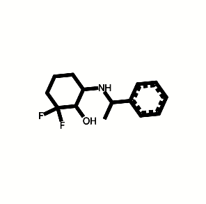 CC(NC1CCCC(F)(F)C1O)c1ccccc1